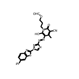 Cc1c(N=Nc2ncn(-c3nc4ccc(C(C)C)cc4s3)n2)c(O)n(CCCOC=O)c(=O)c1C#N